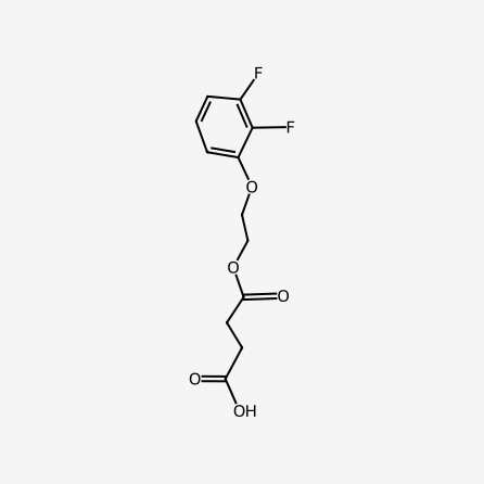 O=C(O)CCC(=O)OCCOc1cccc(F)c1F